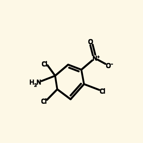 NC1(Cl)C=C([N+](=O)[O-])C(Cl)=CC1Cl